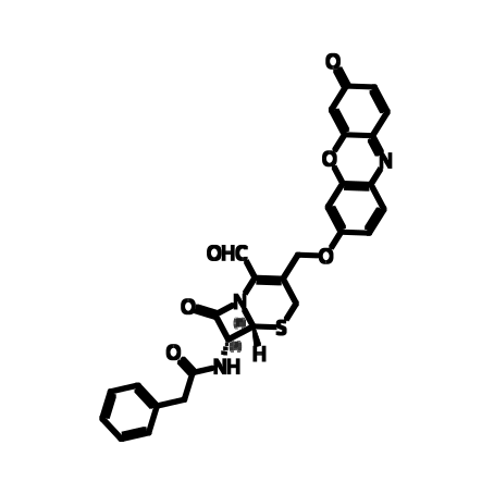 O=CC1=C(COc2ccc3nc4ccc(=O)cc-4oc3c2)CS[C@@H]2[C@H](NC(=O)Cc3ccccc3)C(=O)N12